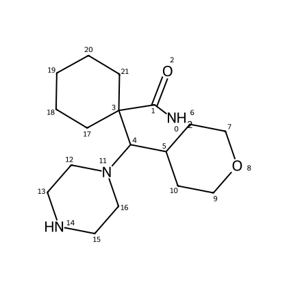 NC(=O)C1(C(C2CCOCC2)N2CCNCC2)CCCCC1